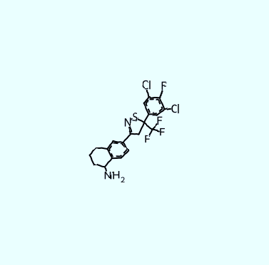 NC1CCCc2cc(C3=NSC(c4cc(Cl)c(F)c(Cl)c4)(C(F)(F)F)C3)ccc21